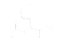 C=C[C](C)c1cc(CCCC)cc(OCCCC)c1